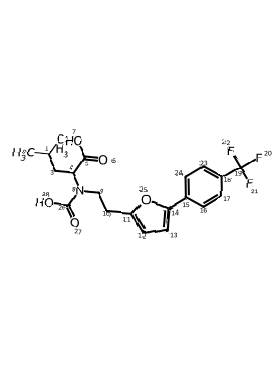 CC(C)CC(C(=O)O)N(CCc1ccc(-c2ccc(C(F)(F)F)cc2)o1)C(=O)O